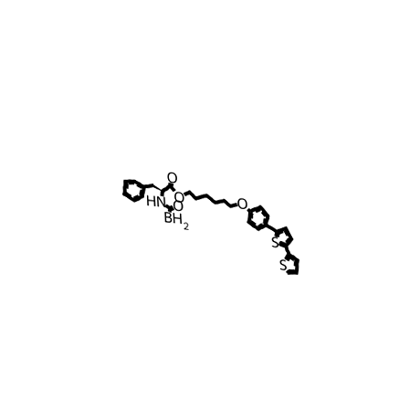 BC(=O)N[C@@H](Cc1ccccc1)C(=O)OCCCCCCOc1ccc(-c2ccc(-c3cccs3)s2)cc1